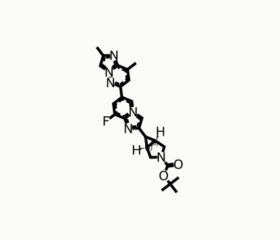 Cc1cn2nc(-c3cc(F)c4nc(C5[C@H]6CN(C(=O)OC(C)(C)C)C[C@@H]56)cn4c3)cc(C)c2n1